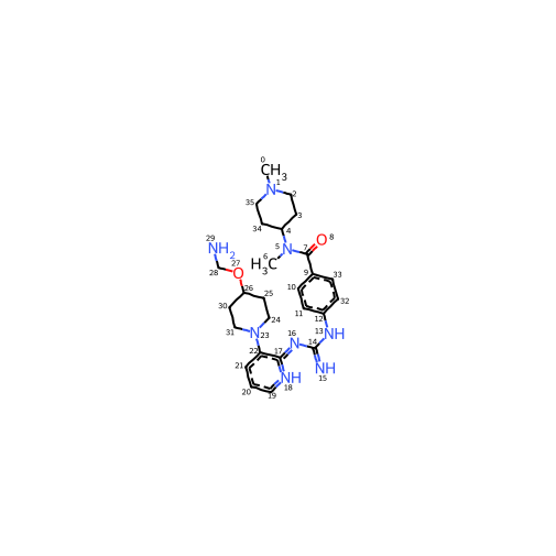 CN1CCC(N(C)C(=O)c2ccc(NC(=N)/N=c3\[nH]cccc3N3CCC(OCN)CC3)cc2)CC1